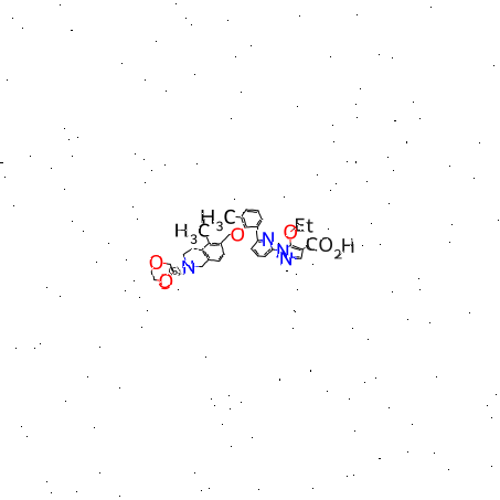 CCOc1c(C(=O)O)cnn1-c1cccc(-c2cccc(C)c2OCc2ccc3c(c2C)CCN(C[C@H]2COCCO2)C3)n1